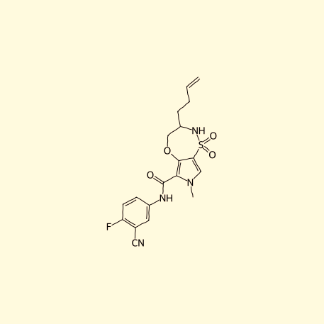 C=CCCC1COc2c(cn(C)c2C(=O)Nc2ccc(F)c(C#N)c2)S(=O)(=O)N1